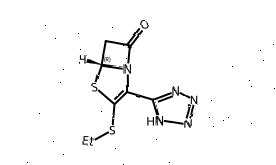 CCSC1=C(c2nnn[nH]2)N2C(=O)C[C@H]2S1